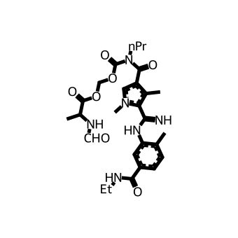 CCCN(C(=O)OCOC(=O)C(C)NC=O)C(=O)c1cn(C)c(C(=N)Nc2cc(C(=O)NCC)ccc2C)c1C